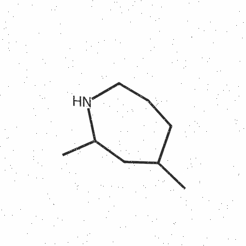 CC1CCCNC(C)C1